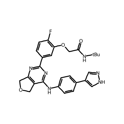 CC(C)(C)NC(=O)COc1cc(-c2nc3c(c(Nc4ccc(-c5cn[nH]c5)cc4)n2)COC3)ccc1F